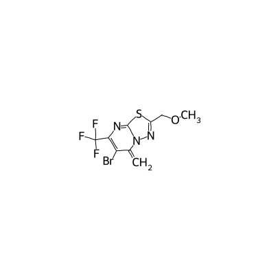 C=C1C(Br)=C(C(F)(F)F)N=C2SC(COC)=NN12